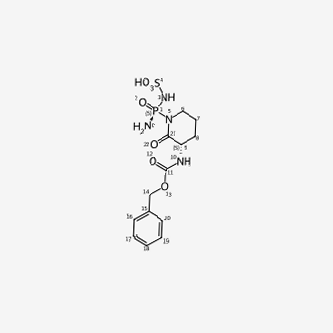 N[P@@](=O)(NS(=O)(=O)O)N1CCC[C@H](NC(=O)OCc2ccccc2)C1=O